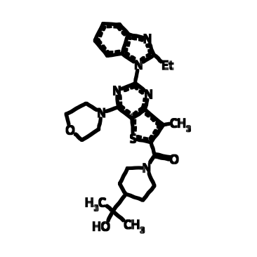 CCc1nc2ccccc2n1-c1nc(N2CCOCC2)c2sc(C(=O)N3CCC(C(C)(C)O)CC3)c(C)c2n1